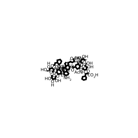 CC[C@@H]1CC(C(=O)O[C@H]2C[C@H]3[C@@H]([C@H](OC(=O)C4C[C@@H](CC)[C@@H](OC5O[C@@H](C)[C@H](O)C(O)[C@@H]5O)[C@H](O[C@@H]5O[C@@H](CO)[C@H](O)C(O[C@@H](CC6CCCCC6)C(=O)O)C5NC(C)=O)C4)C[C@@H]4C[C@@H](N)CC[C@@]43C)[C@@H]3CC[C@H]([C@H](C)CCC(=O)OC)[C@@]23C)C[C@@H](O[C@@H]2O[C@@H](CO)[C@H](O)C(O[C@@H](CC3CCCCC3)C(=O)O)C2NC(C)=O)[C@@H]1OC1O[C@@H](C)[C@H](O)[C@H](O)C1O